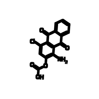 Nc1c(OC(=O)O)cc(Cl)c2c1C(=O)c1ccccc1C2=O